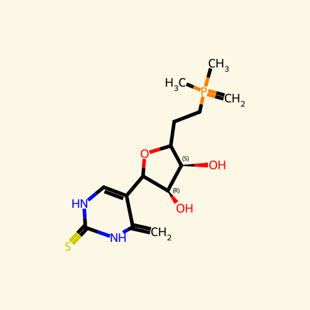 C=C1NC(=S)NC=C1C1OC(CCP(=C)(C)C)[C@@H](O)[C@H]1O